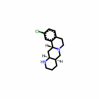 Clc1ccc2c(c1)[C@H]1C[C@@H]3NCCC[C@@H]3CN1CC2